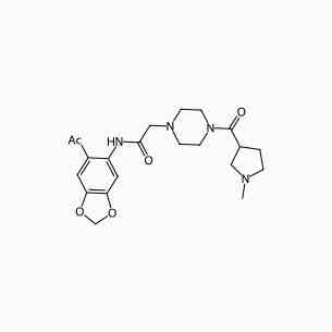 CC(=O)c1cc2c(cc1NC(=O)CN1CCN(C(=O)C3CCN(C)C3)CC1)OCO2